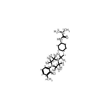 [2H]C([2H])(C[C@H]1CC[C@H](NC(=O)N(C)C)CC1)N1C([2H])([2H])C([2H])([2H])N(c2cccc(C)c2Cl)C([2H])([2H])C1([2H])[2H]